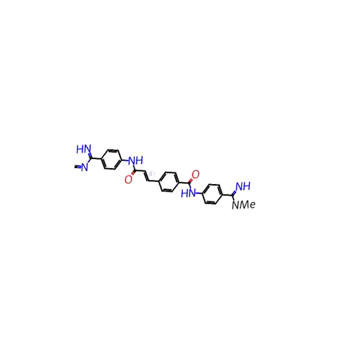 C=NC(=N)c1ccc(NC(=O)/C=C/c2ccc(C(=O)Nc3ccc(C(=N)NC)cc3)cc2)cc1